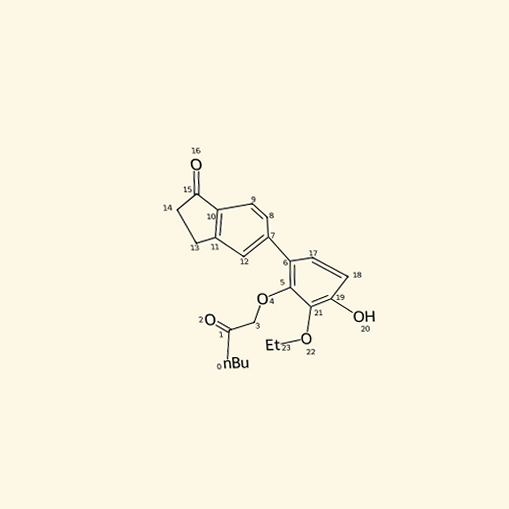 CCCCC(=O)COc1c(-c2ccc3c(c2)CCC3=O)ccc(O)c1OCC